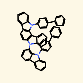 c1ccc(-c2ccc(-n3c4ccccc4c4cccc(-n5c6ccccc6c6c5ccc5c7ccccc7n(-c7ccc(-c8ccccc8)cc7)c56)c43)cc2)cc1